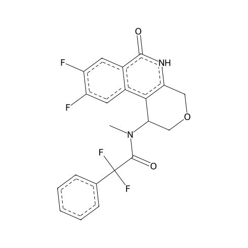 CN(C(=O)C(F)(F)c1ccccc1)C1COCc2[nH]c(=O)c3cc(F)c(F)cc3c21